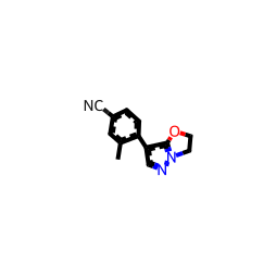 Cc1cc(C#N)ccc1-c1cnn2c1OCC2